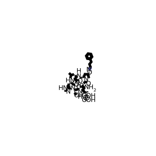 CC(=O)N1C[C@@H](O/N=C/CCc2ccccc2)C[C@H]1C(=O)N[C@@H](CC(C)C)C(=O)N[C@@H](Cc1cnc[nH]1)C(=O)N[C@@H](CO)C(=O)N[C@H](C(N)=O)[C@@H](C)OP(=O)(O)O